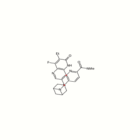 CCc1c(F)c2ncc(CN3C4CC3CN(c3ccc(C(=O)NC)nc3)C4)cc2[nH]c1=O